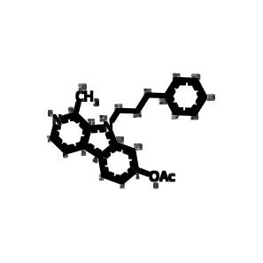 CC(=O)Oc1ccc2c3ccnc(C)c3n(CCCc3ccccc3)c2c1